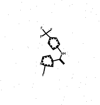 C=C(Nc1ccc(C(F)(F)F)cc1)c1ccnc(F)c1